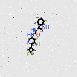 O=C(Nc1cnc(C2CC(F)(F)C2)c(Cl)c1)Nc1c[nH]c2ccccc12